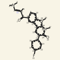 C/C(=C\N(C)C)C(=O)c1ccc2c(c1)c1cc(-c3ccc(F)cc3)c(=O)n(C)c1n2C